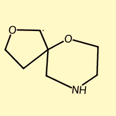 [CH]1OCCC12CNCCO2